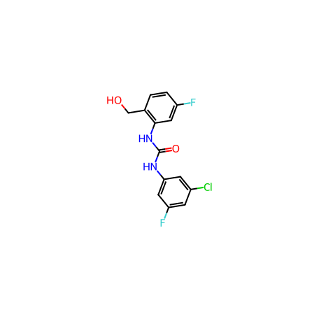 O=C(Nc1cc(F)cc(Cl)c1)Nc1cc(F)ccc1CO